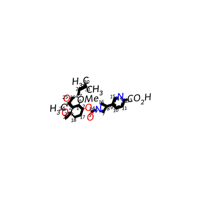 CO[C@@H]1[C@H](OC(=O)N2CC(c3ccc(C(=O)O)nc3)C2)CC[C@]2(CO2)[C@H]1[C@@]1(C)O[C@@H]1CC=C(C)C